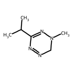 CC(C)C1=NN(C)CN=N1